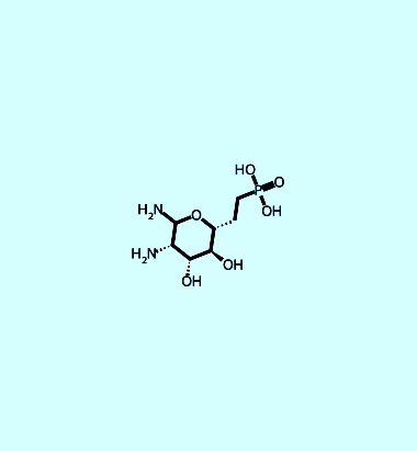 NC1O[C@H](CCP(=O)(O)O)[C@@H](O)[C@H](O)[C@@H]1N